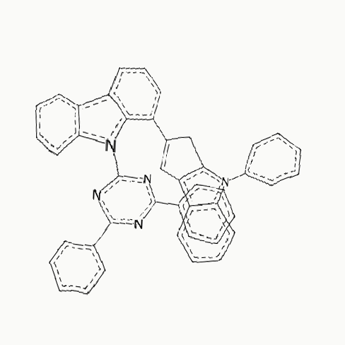 C1=C(c2cccc3c4ccccc4n(-c4nc(-c5ccccc5)nc(-c5ccccc5)n4)c23)Cc2c1c1ccccc1n2-c1ccccc1